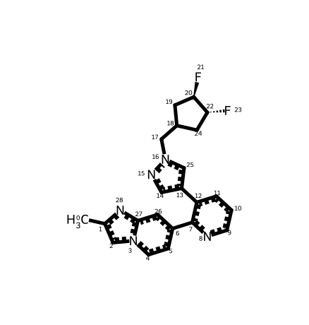 Cc1cn2ccc(-c3ncccc3-c3cnn(CC4C[C@@H](F)[C@H](F)C4)c3)cc2n1